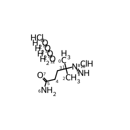 CC(C)(CCC(N)=O)N=N.Cl.Cl.O.O.O.O